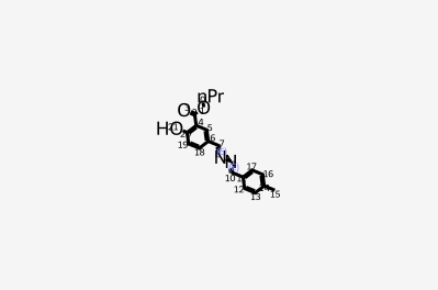 CCCOC(=O)c1cc(/C=N/N=C/c2ccc(C)cc2)ccc1O